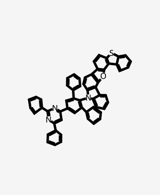 c1ccc(-c2cc(-c3cc(-c4ccccc4)c(-n4c5ccccc5c5c6oc7c(ccc8sc9ccccc9c87)c6ccc54)c(-c4ccccc4)c3)nc(-c3ccccc3)n2)cc1